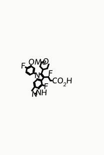 COc1cc(-n2c(C3CCOCC3)c([C@H](F)CC(=O)O)c3c(F)c4[nH]ncc4cc32)ccc1F